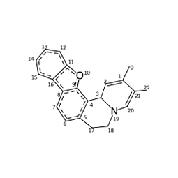 CC1=CC2c3c(ccc4c3oc3ccccc34)CCN2C=C1C